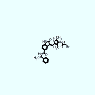 Cc1[nH]c(/C=C2\C(=O)Nc3ccc(C(=O)NC(C)c4ccccc4)cc32)c(C)c1NC(=O)CBr